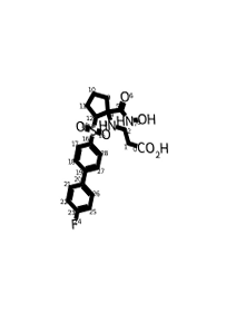 O=C(O)CCNC1(C(=O)NO)CCCC1S(=O)(=O)c1ccc(-c2ccc(F)cc2)cc1